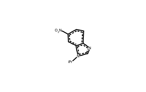 CC(C)n1cnc2ccc([N+](=O)[O-])cc21